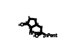 CCCCCC(=O)CC1CCC(=O)C1CCCCC